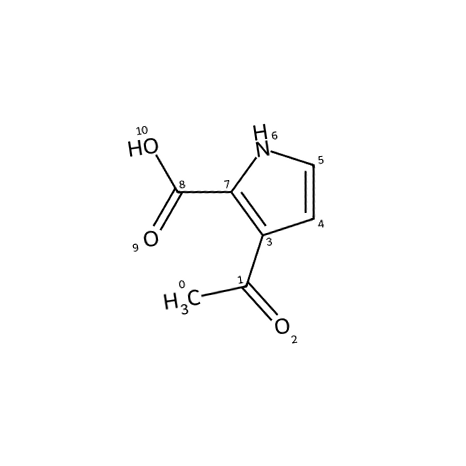 CC(=O)c1cc[nH]c1C(=O)O